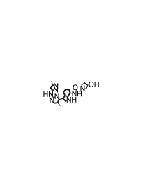 Cc1cnc(Nc2cc(C)n(C)n2)nc1-c1c[nH]c2c(NC(=O)CN3CC[C@H](O)C3)cccc12